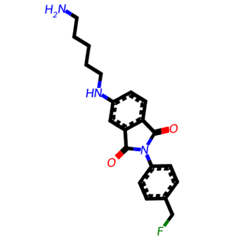 NCCCCCNc1ccc2c(c1)C(=O)N(c1ccc(CF)cc1)C2=O